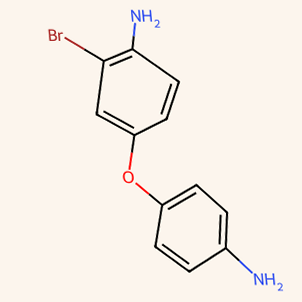 Nc1ccc(Oc2ccc(N)c(Br)c2)cc1